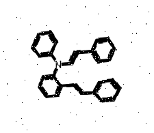 C(=Cc1ccccc1N(C=Cc1ccccc1)c1ccccc1)c1ccccc1